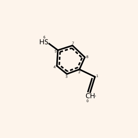 [CH]=Cc1ccc(S)cc1